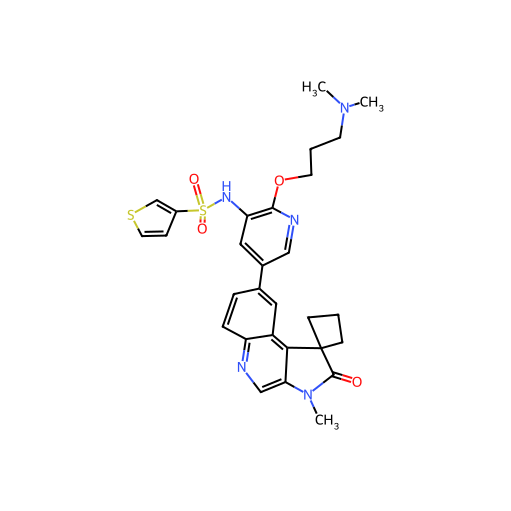 CN(C)CCCOc1ncc(-c2ccc3ncc4c(c3c2)C2(CCC2)C(=O)N4C)cc1NS(=O)(=O)c1ccsc1